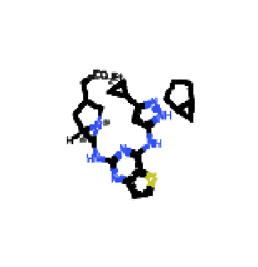 C1CC2CC2C1.CCOC(=O)CC1C[C@H]2C(Nc3nc(Nc4cc(C5CC5)n[nH]4)c4sccc4n3)[N@]2C1